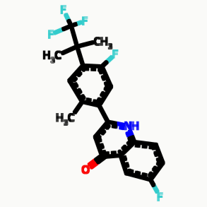 Cc1cc(C(C)(C)C(F)(F)F)c(F)cc1-c1cc(=O)c2cc(F)ccc2[nH]1